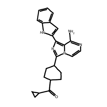 Nc1nccn2c(C3CCC(C(=O)C4CC4)CC3)nc(-c3cc4ccccc4[nH]3)c12